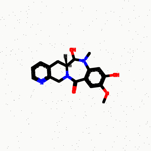 COc1cc2c(cc1O)N(C)C(O)[C@@H]1Cc3cccnc3CN1C2=O